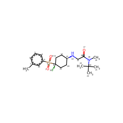 Cc1cccc(S(=O)(=O)[C@]2(F)CC[C@@H](NCC(=O)N(C)C(C)(C)C)CC2)c1